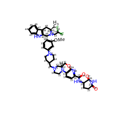 COc1cc(N2CCC(CN3CCN4c5ccc(C(=O)NC6CCC(=O)NC6=O)nc5OC[C@H]4C3)CC2)ccc1[C@@H]1c2[nH]c3ccccc3c2C[C@@H](C)N1CC(F)F